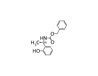 C[C@@H](NC(=O)OCc1ccccc1)c1ccccc1O